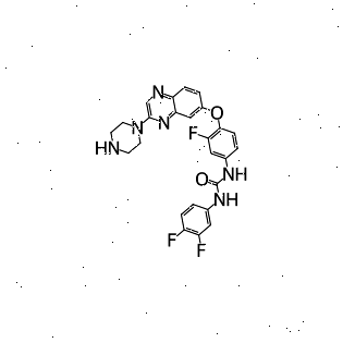 O=C(Nc1ccc(F)c(F)c1)Nc1ccc(Oc2ccc3ncc(N4CCNCC4)nc3c2)c(F)c1